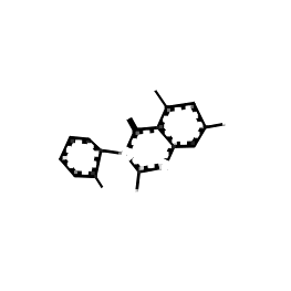 Cc1cc(F)cc2nc(Cl)n(-c3ccccc3Cl)c(=O)c12